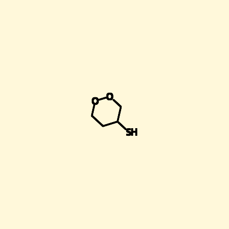 SC1CCOOC1